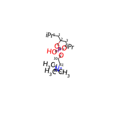 CC(C)CC(CC(C)C)OP(=O)(O)OCC[N+](C)(C)C